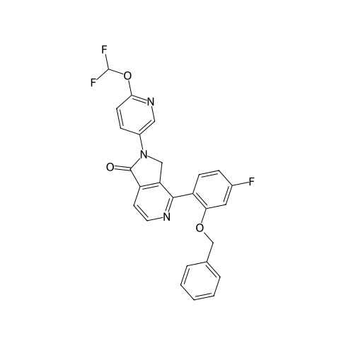 O=C1c2ccnc(-c3ccc(F)cc3OCc3ccccc3)c2CN1c1ccc(OC(F)F)nc1